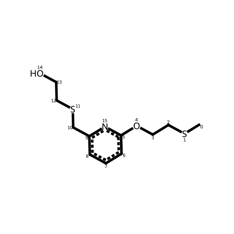 CSCCOc1cccc(CSCCO)n1